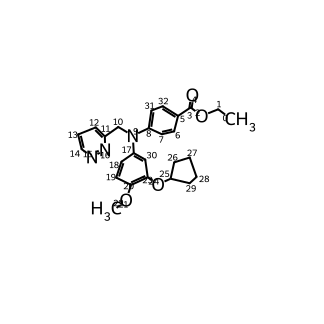 CCOC(=O)c1ccc(N(Cc2cccnn2)c2ccc(OC)c(OC3CCCC3)c2)cc1